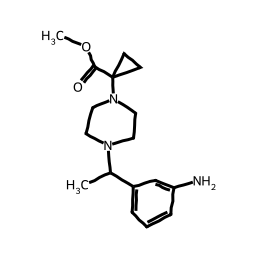 COC(=O)C1(N2CCN(C(C)c3cccc(N)c3)CC2)CC1